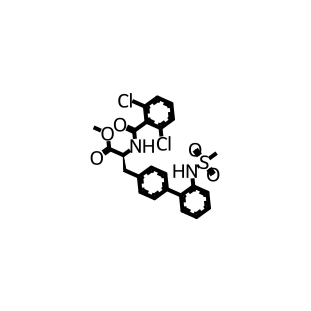 COC(=O)[C@H](Cc1ccc(-c2ccccc2NS(C)(=O)=O)cc1)NC(=O)c1c(Cl)cccc1Cl